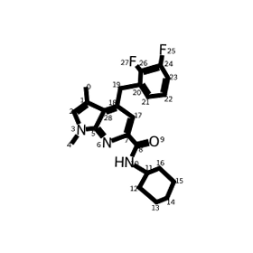 Cc1cn(C)c2nc(C(=O)NC3CCCCC3)cc(Cc3cccc(F)c3F)c12